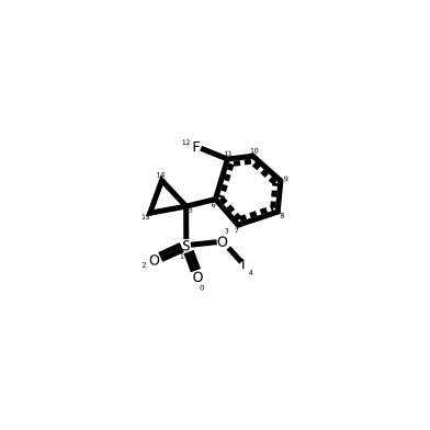 O=S(=O)(OI)C1(c2ccccc2F)CC1